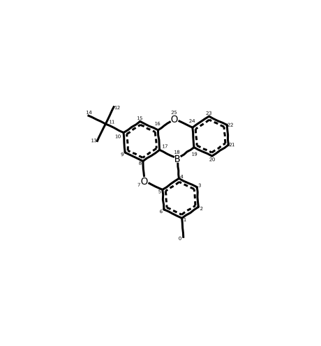 Cc1ccc2c(c1)Oc1cc(C(C)(C)C)cc3c1B2c1ccccc1O3